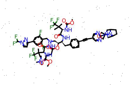 COC(=O)N[C@H](C(=O)N[C@@H](Cc1ccc(C#Cc2cnc(N3CC4CCC(C3)N4C3COC3)nc2)cc1)[C@H](CN(Cc1c(F)cc(-c2ccn(C(F)F)n2)cc1F)NC(=O)[C@@H](NC(=O)OC)C(C)(C)C(F)(F)F)OC(=O)CCC[N+](C)(C)C)C(C)(C)C(F)(F)F